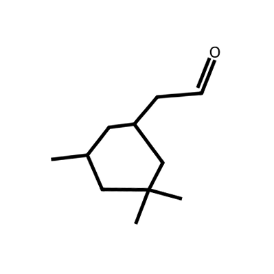 CC1CC(CC=O)CC(C)(C)C1